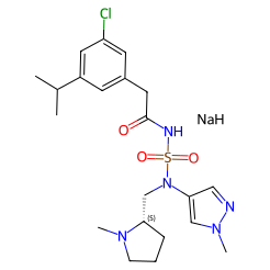 CC(C)c1cc(Cl)cc(CC(=O)NS(=O)(=O)N(C[C@@H]2CCCN2C)c2cnn(C)c2)c1.[NaH]